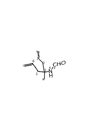 C=CCC(C)(CC=C)NC=O